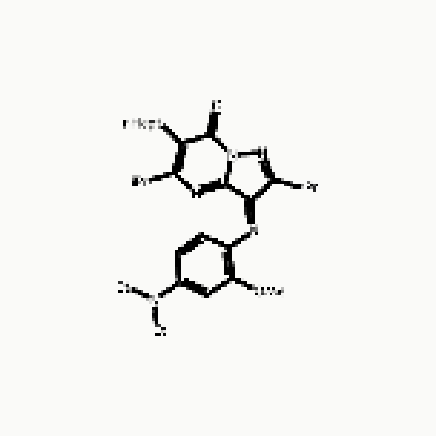 CCCCCCCc1c(C(C)C)nc2n(c1=O)N=C(C(C)C)C2=Nc1ccc(N(CC)CC)cc1OC